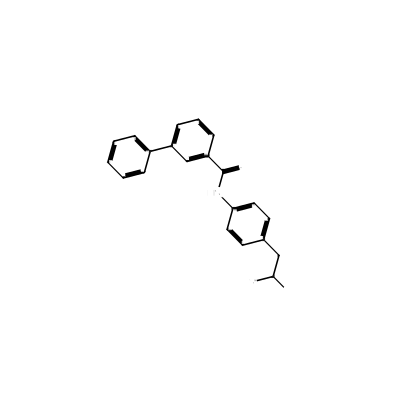 NC(Cc1ccc(NC(=O)c2cccc(-c3ccccc3)c2)cc1)C(=O)O